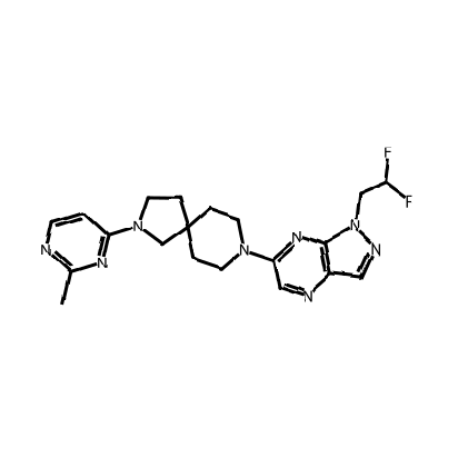 Cc1nccc(N2CCC3(CCN(c4cnc5cnn(CC(F)F)c5n4)CC3)C2)n1